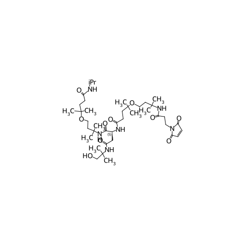 CC(C)NC(=O)CCC(C)(C)OCCC(C)(C)NC(=O)[C@H](CC(=O)NC(C)(C)CO)NC(=O)CCC(C)(C)OCCC(C)(C)NC(=O)CCN1C(=O)C=CC1=O